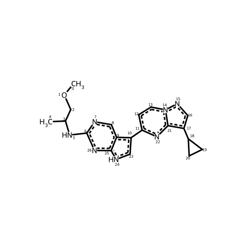 COCC(C)Nc1ncc2c(-c3ccn4ncc(C5CC5)c4n3)c[nH]c2n1